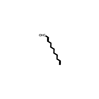 C=CCCCCCC/C=C/[C]=O